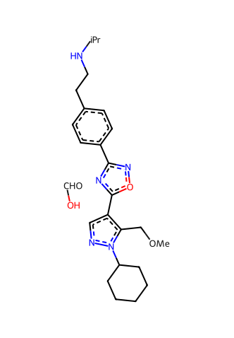 COCc1c(-c2nc(-c3ccc(CCNC(C)C)cc3)no2)cnn1C1CCCCC1.O=CO